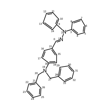 C(=NN(c1ccccc1)c1ccccc1)c1ccc(N(Cc2ccccc2)Cc2ccccc2)cc1